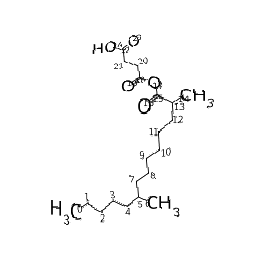 CCCCCC(C)CCCCCCC(C)C(=O)OC(=O)CCC(=O)O